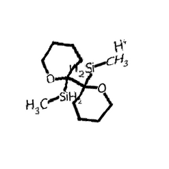 C[SiH2]C1(C2([SiH2]C)CCCCO2)CCCCO1.[H+]